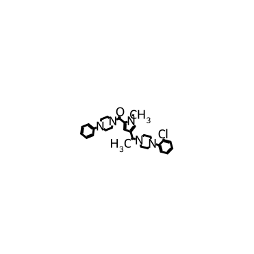 CC(c1cc(C(=O)N2CCN(c3ccccc3)CC2)n(C)c1)N1CCN(c2ccccc2Cl)CC1